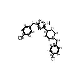 Clc1ccc(Cc2n[nH]c(C3CCN(Cc4ccc(Cl)cc4)CC3)n2)cc1